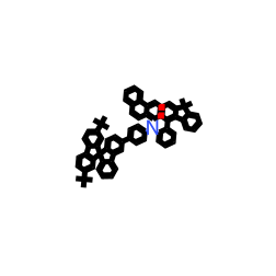 CC(C)(C)c1ccc2c(c1)C1(c3ccccc3-c3cc(-c4ccc(N(c5ccccc5-c5cccc6c5-c5ccccc5C6(C)C)c5cccc6c5ccc5ccccc56)cc4)ccc31)c1cc(C(C)(C)C)ccc1-2